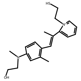 C/C(=C\c1ccc(N(C)CCO)cc1C)c1cccc[n+]1CCS